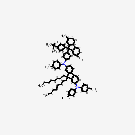 CCCCCCCCC1(CCCCCCCC)c2cc(N(c3ccc(C)cc3)c3ccc(C)cc3)ccc2-c2ccc(N(c3ccc(C)cc3)c3ccc(C4(c5ccc(C(C)(C)C)cc5)c5cc(C)ccc5-c5ccc(C)cc54)cc3)cc21